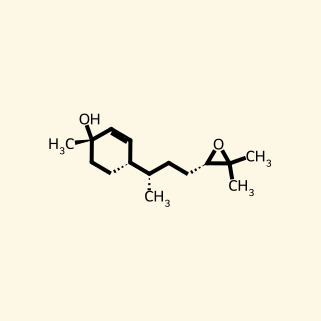 C[C@@H](CC[C@@H]1OC1(C)C)[C@H]1C=C[C@@](C)(O)CC1